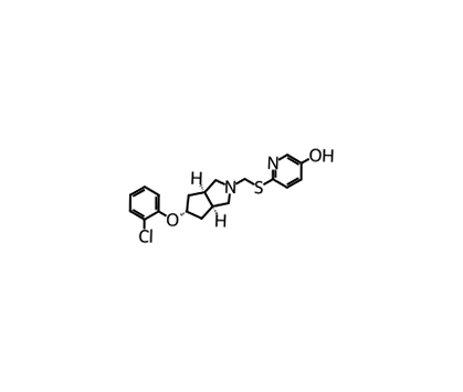 Oc1ccc(SCN2C[C@H]3C[C@H](Oc4ccccc4Cl)C[C@H]3C2)nc1